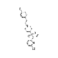 C=CC(c1cccc(Cl)n1)S(=O)(=O)C1CCN(CCc2ccc(F)cc2)CC1